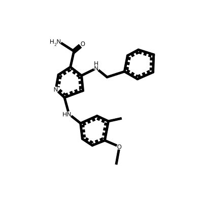 COc1ccc(Nc2cc(NCc3ccccc3)c(C(N)=O)cn2)cc1C